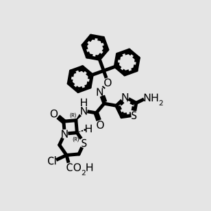 Nc1nc(C(=NOC(c2ccccc2)(c2ccccc2)c2ccccc2)C(=O)N[C@@H]2C(=O)N3CC(Cl)(C(=O)O)CS[C@H]23)cs1